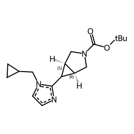 CC(C)(C)OC(=O)N1C[C@@H]2C(c3nccn3CC3CC3)[C@@H]2C1